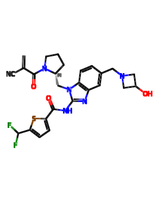 C=C(C#N)C(=O)N1CCC[C@@H]1Cn1c(NC(=O)c2ccc(C(F)F)s2)nc2cc(CN3CC(O)C3)ccc21